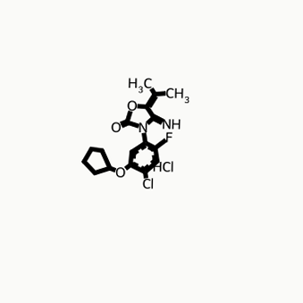 CC(C)=C1OC(=O)N(c2cc(OC3CCCC3)c(Cl)cc2F)C1=N.Cl